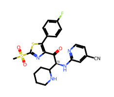 CS(=O)(=O)c1nc(C(=O)[C@@H](Nc2cc(C#N)ccn2)C2CCCCN2)c(-c2ccc(F)cc2)s1